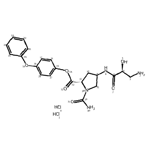 Cl.Cl.NC[C@H](O)C(=O)NC1C[C@@H](C(=O)Oc2ccc(Oc3ccccc3)cc2)N(C(N)=O)C1